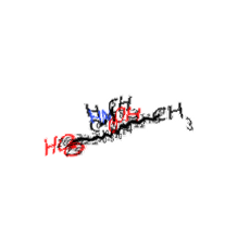 C#CCNC(C)C(=O)O.CCCCCCCCCCCCCCCC(=O)O